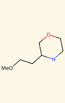 COCCC1COCC[N]1